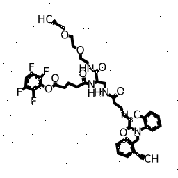 C#CCOCCOCCNC(=O)C(CNC(=O)CCCCC(=O)N(Cc1ccccc1C#C)c1ccccc1C)NC(=O)CCCC(=O)Oc1c(F)c(F)cc(F)c1F